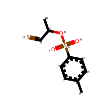 Cc1ccc(S(=O)(=O)OC(C)[C]=S)cc1